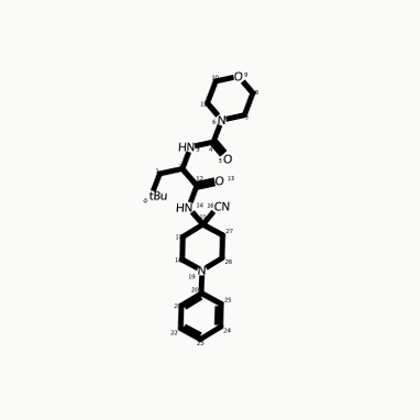 CC(C)(C)CC(NC(=O)N1CCOCC1)C(=O)NC1(C#N)CCN(c2ccccc2)CC1